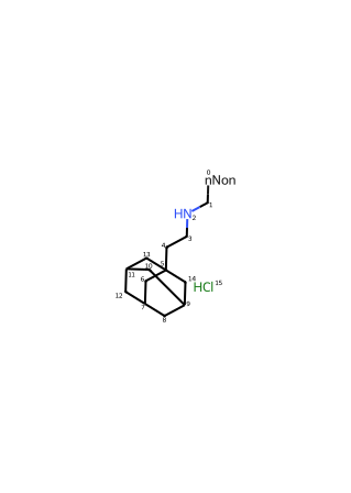 CCCCCCCCCCNCCC12CC3CC(CC(C3)C1)C2.Cl